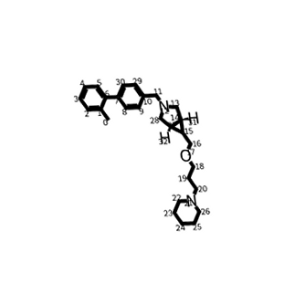 Cc1ccccc1-c1ccc(CN2C[C@@H]3C(COCCCN4CCCCC4)[C@@H]3C2)cc1